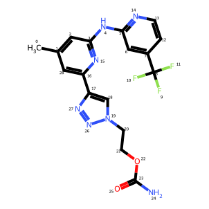 Cc1cc(Nc2cc(C(F)(F)F)ccn2)nc(-c2cn(CCOC(N)=O)nn2)c1